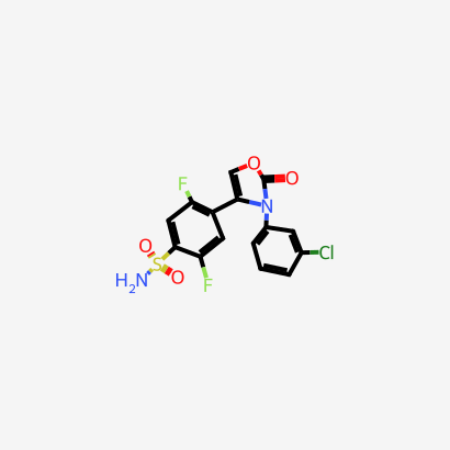 NS(=O)(=O)c1cc(F)c(-c2coc(=O)n2-c2cccc(Cl)c2)cc1F